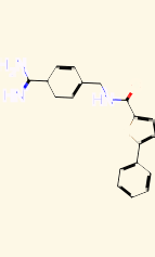 N=C(N)C1C=CC(CNC(=O)c2ccc(-c3ccccc3)s2)=CC1